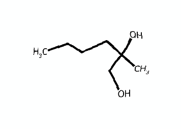 CCCCC(C)(O)CO